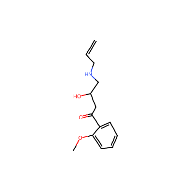 C=CCNCC(O)CC(=O)c1ccccc1OC